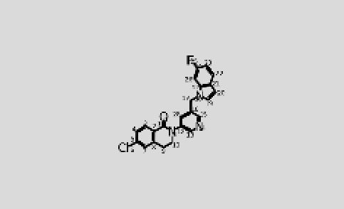 O=C1c2ccc(Cl)cc2CCN1c1cncc(Cn2ccc3ccc(F)cc32)c1